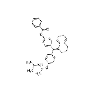 CC(C)NC(C)Oc1ccc(C(=C2CCCc3ccccc32)c2ccc(OC(=O)c3ccccc3)cc2)cc1